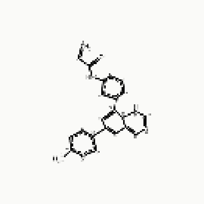 C=CC(=O)Nc1cccc(C2=CC(c3ccc(C)nc3)=CC3=CN=CNC32)c1